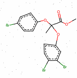 COC(=O)C(C)(Oc1ccc(Br)cc1)Oc1ccc(Br)c(Br)c1